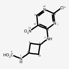 O=C(O)NC1CC(Nc2nc(Cl)ncc2[N+](=O)[O-])C1